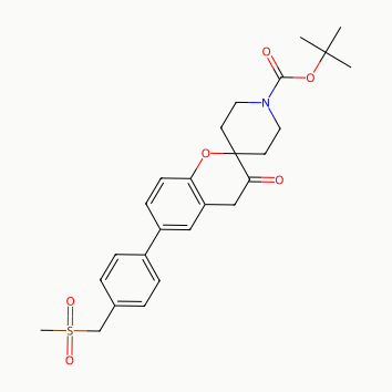 CC(C)(C)OC(=O)N1CCC2(CC1)Oc1ccc(-c3ccc(CS(C)(=O)=O)cc3)cc1CC2=O